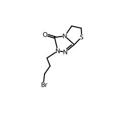 O=c1n(CCCBr)nc2n1CCS2